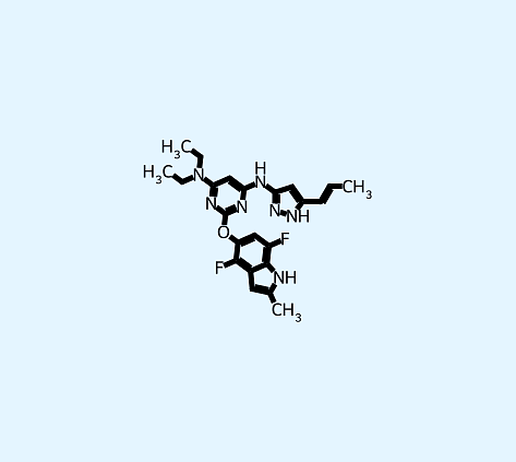 C/C=C/c1cc(Nc2cc(N(CC)CC)nc(Oc3cc(F)c4[nH]c(C)cc4c3F)n2)n[nH]1